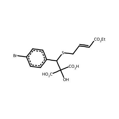 CCOC(=O)/C=C/CSC(c1ccc(Br)cc1)C(O)(C(=O)O)C(=O)O